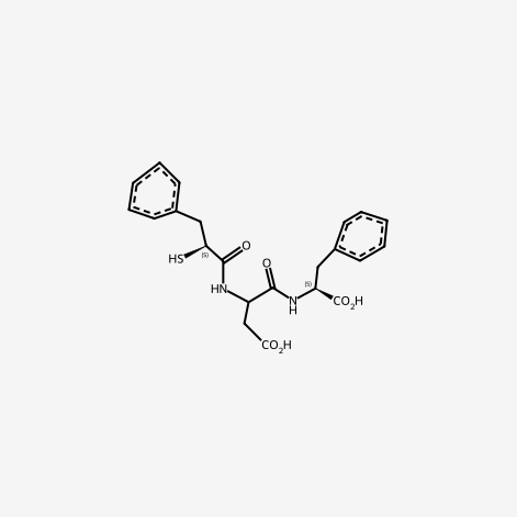 O=C(O)CC(NC(=O)[C@@H](S)Cc1ccccc1)C(=O)N[C@@H](Cc1ccccc1)C(=O)O